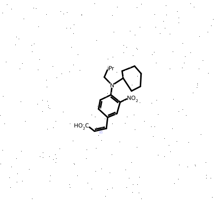 CC(C)CN(c1ccc(/C=C\C(=O)O)cc1[N+](=O)[O-])C1CCCCC1